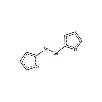 c1coc([Se][Se]c2ccco2)c1